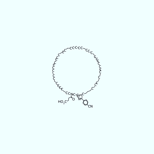 N#Cc1ccc(C2=NOC3(CCCCCCCCCCCCCCCCCCCCCCCCCCCCCCCCCCCCCCCCCCCCCCCCCCN(C(=O)CCC(=O)O)CC3)C2)cc1